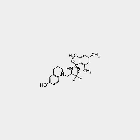 Cc1cc(C)c(S(=O)(=O)NC(CN2CCCc3cc(O)ccc32)C(F)(F)F)c(C)c1